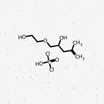 C=C(C)CC(O)COCCO.O=P(O)(Cl)Cl